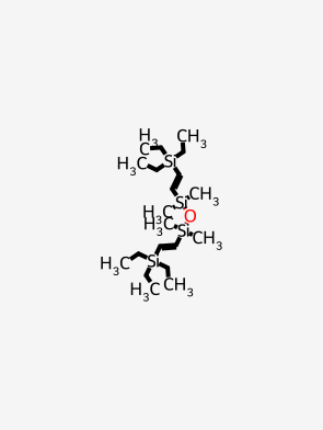 CC[Si](/C=C/[Si](C)(C)O[Si](C)(C)/C=C/[Si](CC)(CC)CC)(CC)CC